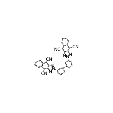 N#Cc1c2ccccc2c(C#N)c2nn(-c3cccc(-c4cccc(-n5nc6c(C#N)c7ccccc7c(C#N)c6n5)c4)c3)nc12